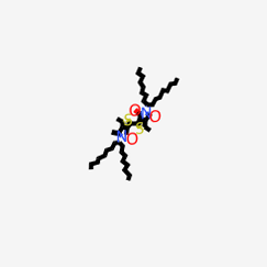 C=C1c2c(C)sc(-c3sc(C)c4c3C(=O)N(C(CCCCCCCC)CCCCCCCC)C4=O)c2C(=O)N1C(CCCCCCCC)CCCCCCCC